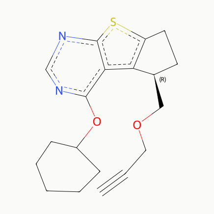 C#CCOC[C@@H]1CCc2sc3ncnc(OC4CCCCC4)c3c21